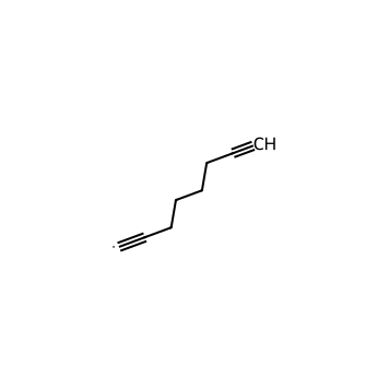 [C]#CCCCCC#C